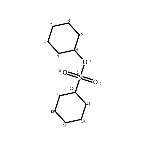 O=S(=O)(OC1CCCCC1)C1CCCCC1